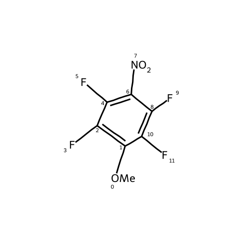 COc1c(F)c(F)c([N+](=O)[O-])c(F)c1F